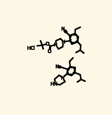 CCc1cc(CC(C)C)cc(N2CCN(C(=O)OC(C)(C)C)CC2)c1C#N.CCc1cc(CC(C)C)cc(N2CCNCC2)c1C#N.Cl